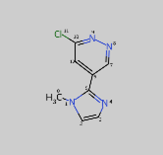 Cn1ccnc1-c1cnnc(Cl)c1